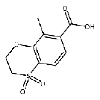 Cc1c(C(=O)O)ccc2c1OCCS2(=O)=O